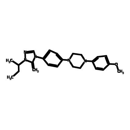 C=C1N(c2ccc(N3CCN(c4ccc(OC)cc4)CC3)cc2)C=NN1C(C)CC